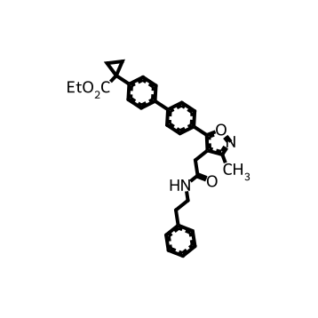 CCOC(=O)C1(c2ccc(-c3ccc(-c4onc(C)c4CC(=O)NCCc4ccccc4)cc3)cc2)CC1